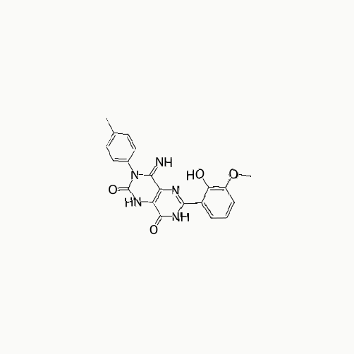 COc1cccc(-c2nc3c(=N)n(-c4ccc(C)cc4)c(=O)[nH]c3c(=O)[nH]2)c1O